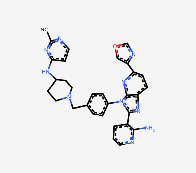 N#Cc1nccc(NC2CCN(Cc3ccc(-n4c(-c5cccnc5N)nc5ccc(-c6cocn6)nc54)cc3)CC2)n1